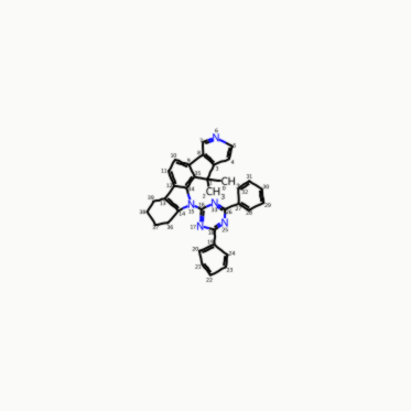 CC1(C)c2ccncc2-c2ccc3c4c(n(-c5nc(-c6ccccc6)nc(-c6ccccc6)n5)c3c21)CCCC4